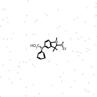 CCN(C)C1N(C)c2ccc(N(C(=O)O)c3ccccc3)cc2C1(C)C